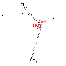 CCCCCCCCCCCCCCCCCCCC(=O)NC(CO)C(O)C(O)CCCCCCCCCCCCCC